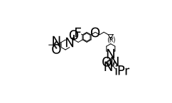 Cc1nc2c(o1)CCN(C(=O)Cc1ccc(OCCC3C[C@@H]3C3CCN(c4nc(C(C)C)no4)CC3)cc1F)C2